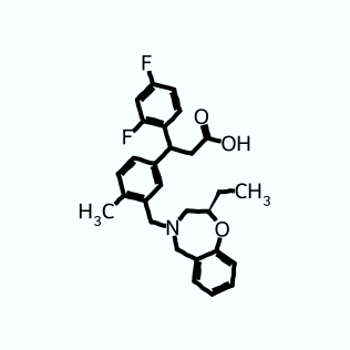 CC[C@@H]1CN(Cc2cc(C(CC(=O)O)c3ccc(F)cc3F)ccc2C)Cc2ccccc2O1